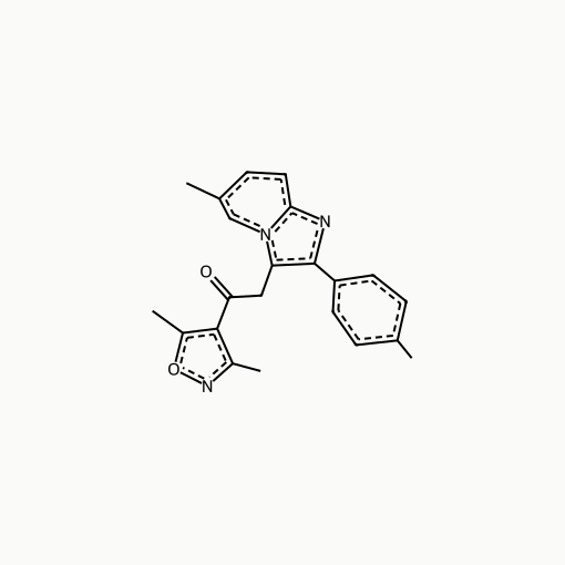 Cc1ccc(-c2nc3ccc(C)cn3c2CC(=O)c2c(C)noc2C)cc1